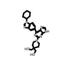 OCC1(CO)CCN(c2nc(-c3ccc4c(c3)ncn4C3CCCCC3)c3nc[nH]c3n2)CC1